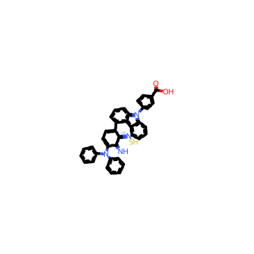 N=C1C(N(c2ccccc2)c2ccccc2)=CC=C(c2cccc3c2c2ccccc2n3-c2ccc(C(=O)O)cc2)/C1=N/S